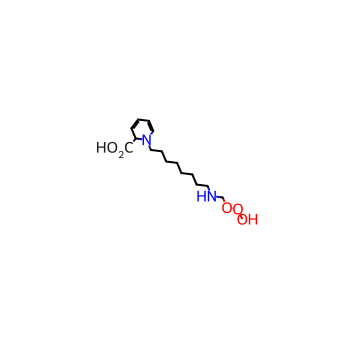 O=C(O)C1C=CC=CN1CCCCCCCCNCOOO